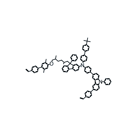 C=Cc1ccc(-c2ccc3c(c2)c2cc(-c4ccc(N(c5ccc(-c6ccc(C(C)(C)C)cc6)cc5)c5ccc6c(c5)C(CC(C)CCC(C)COc5cc(C)c(-c7ccc(C=C)cc7)cc5C)(c5ccccc5)c5ccccc5-6)cc4)ccc2n3-c2ccccc2)cc1